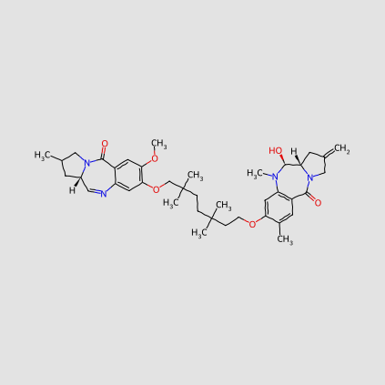 C=C1C[C@H]2[C@H](O)N(C)c3cc(OCCC(C)(C)CCC(C)(C)COc4cc5c(cc4OC)C(=O)N4CC(C)C[C@H]4C=N5)c(C)cc3C(=O)N2C1